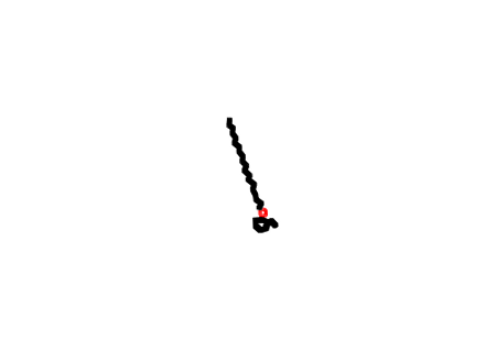 C=Cc1ccccc1OCCCCCCCCCCCCCCCCCCCC